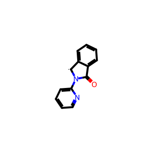 O=C1c2ccccc2[CH]N1c1ccccn1